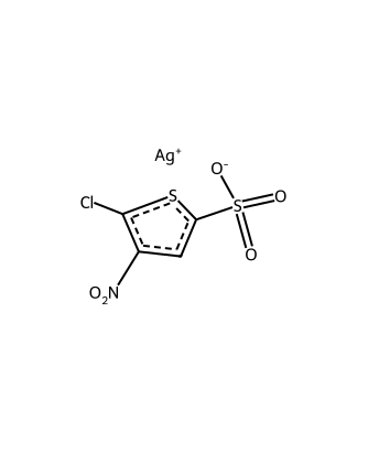 O=[N+]([O-])c1cc(S(=O)(=O)[O-])sc1Cl.[Ag+]